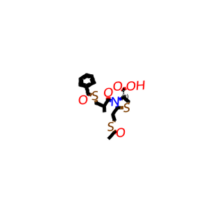 CC(=O)SCCC1SC[C@@H](C(=O)O)N1C(=O)C(C)CSC(=O)c1ccccc1